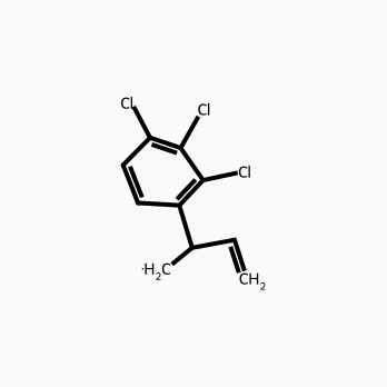 [CH2]C(C=C)c1ccc(Cl)c(Cl)c1Cl